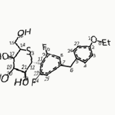 CCOc1ccc(Cc2cc(F)c([C@H]3SC(CO)C(O)C(O)C3O)c(F)c2)cc1